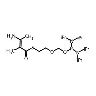 C/C(N)=C(/C)C(=O)SCCOCOP(N(C(C)C)C(C)C)N(C(C)C)C(C)C